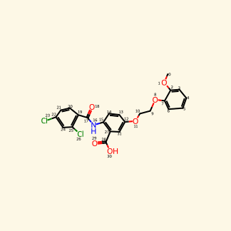 COc1ccccc1OCCOc1ccc(NC(=O)c2ccc(Cl)cc2Cl)c(C(=O)O)c1